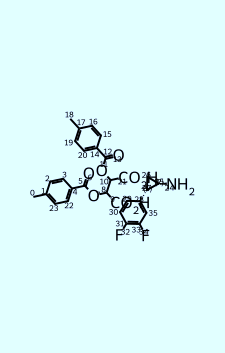 Cc1ccc(C(=O)OC(C(=O)O)C(OC(=O)c2ccc(C)cc2)C(=O)O)cc1.N[C@@H]1C[C@H]1c1ccc(F)c(F)c1